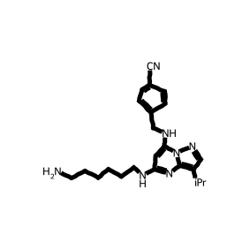 CC(C)c1cnn2c(NCc3ccc(C#N)cc3)cc(NCCCCCCN)nc12